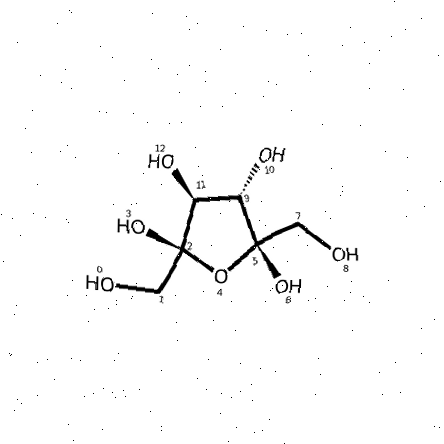 OC[C@@]1(O)O[C@@](O)(CO)[C@@H](O)[C@@H]1O